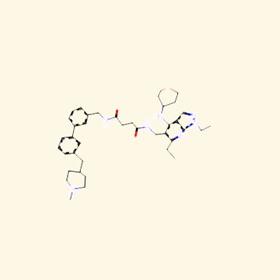 CCc1nc2c(cnn2CC)c(NC2CCOCC2)c1CNC(=O)CCC(=O)NCc1cccc(-c2cccc(CC3CCN(C)CC3)c2)c1